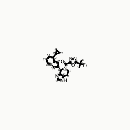 CC(C)(F)c1nnc(C(=O)N2CCc3[nH]cnc3[C@H]2c2cc3c(C4CC4)cccn3n2)o1